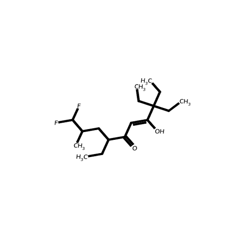 CCC(CC(C)C(F)F)C(=O)/C=C(\O)C(CC)(CC)CC